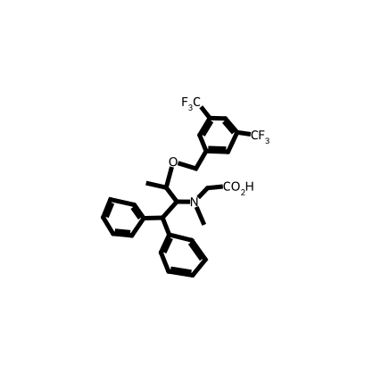 CC(OCc1cc(C(F)(F)F)cc(C(F)(F)F)c1)C(C(c1ccccc1)c1ccccc1)N(C)CC(=O)O